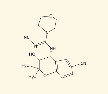 CC1(C)Oc2ccc(C#N)cc2[C@@H](NC(=NC#N)N2CCOCC2)C1O